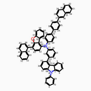 c1ccc(-n2c3ccccc3c3c(-c4cccc(N(c5ccc(-c6ccc(-c7ccc8ccccc8c7)cc6)cc5)c5ccc(-c6cccc7ccccc67)c6oc7ccccc7c56)c4)cccc32)cc1